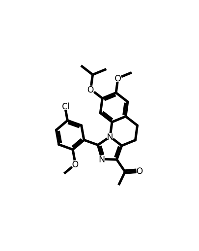 COc1cc2c(cc1OC(C)C)-n1c(-c3cc(Cl)ccc3OC)nc(C(C)=O)c1CC2